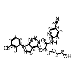 Cc1c(Cl)cccc1-n1ncc2c(O[C@@H](COCCO)C(=O)Nc3ccc(C#N)cn3)ncnc21